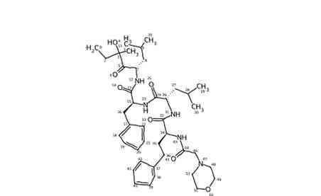 [CH2]CC(C)(O)C(=O)[C@H](CC(C)C)NC(=O)[C@H](Cc1ccccc1)NC(=O)[C@H](CC(C)C)NC(=O)[C@H](CCc1ccccc1)NC(=O)CN1CCOCC1